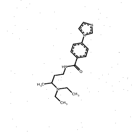 CCN(CC)C(C)CCNC(=O)c1ccc(-n2ccnc2)cc1